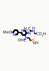 CCCOCCN(C=O)c1cc(-c2ccc(OC)nc2)ncc1/N=C(\C)NCC(=O)O